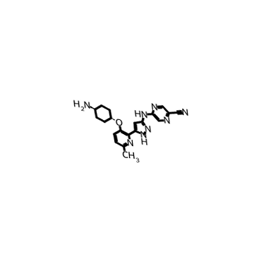 Cc1ccc(O[C@H]2CC[C@H](N)CC2)c(-c2cc(Nc3cnc(C#N)cn3)n[nH]2)n1